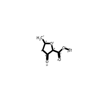 CCOC(=O)C1OC(C)CC1=O